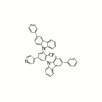 FC(F)(F)c1c(-n2c3ccccc3c3cc(-c4ccccc4)ccc32)cc(-c2ccncc2)cc1-n1c2ccccc2c2cc(-c3ccccc3)ccc21